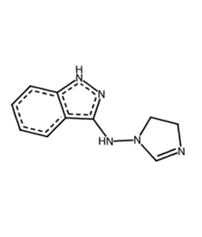 C1=NCCN1Nc1n[nH]c2ccccc12